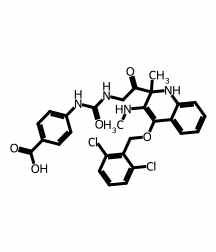 CNC1=C(OCc2c(Cl)cccc2Cl)c2ccccc2NC1(C)C(=O)CNC(=O)Nc1ccc(C(=O)O)cc1